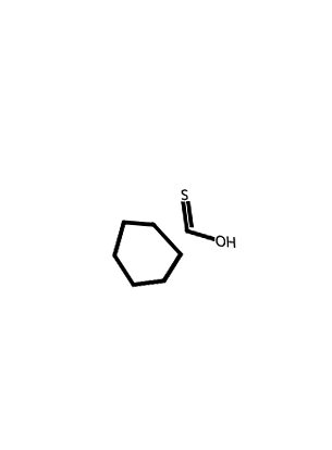 C1CCCCC1.OC=S